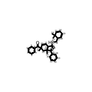 CC1(C(=O)c2ccccc2)C=CC(C(=O)PCC2C=CC=CC2(C)C)C(C)(C(=O)c2ccccc2)C1